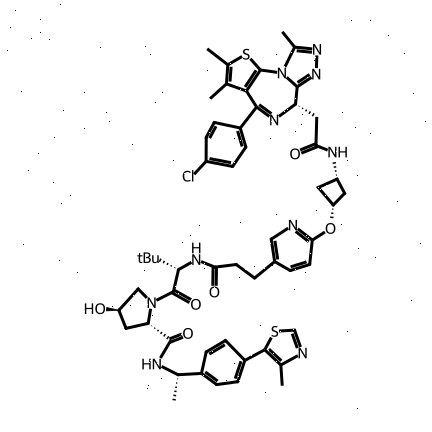 Cc1ncsc1-c1ccc([C@H](C)NC(=O)[C@@H]2C[C@@H](O)CN2C(=O)[C@@H](NC(=O)CCc2ccc(O[C@H]3C[C@@H](NC(=O)C[C@@H]4N=C(c5ccc(Cl)cc5)c5c(sc(C)c5C)-n5c(C)nnc54)C3)nc2)C(C)(C)C)cc1